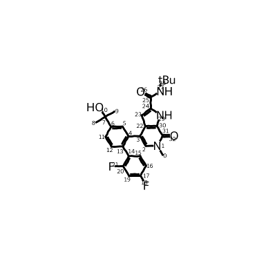 Cn1cc(-c2cc(C(C)(C)O)ccc2-c2ccc(F)cc2F)c2cc(C(=O)NC(C)(C)C)[nH]c2c1=O